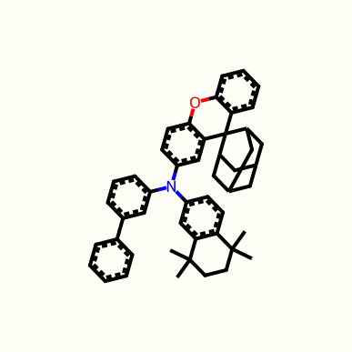 CC1(C)CCC(C)(C)c2cc(N(c3cccc(-c4ccccc4)c3)c3ccc4c(c3)C3(c5ccccc5O4)C4CC5CC(C4)CC3C5)ccc21